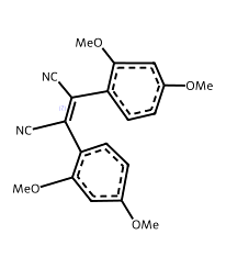 COc1ccc(/C(C#N)=C(/C#N)c2ccc(OC)cc2OC)c(OC)c1